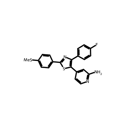 CSc1ccc(-c2nc(-c3ccc(F)cc3)c(-c3ccnc(N)c3)s2)cc1